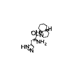 N[C@H](Cc1cnc[nH]1)C(=O)N1CCC[C@H]2CCCC[C@@H]21